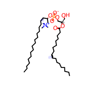 CCCCCCCC/C=C\CCCCCCCC(=O)O[C@H](CO)COP(=O)([O-])OC(/C=C\CCCCCCCCCCCCCCCC)C[N+](C)(C)C